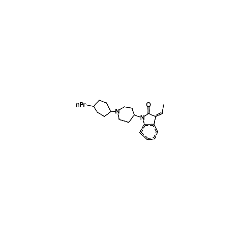 C/C=C1\C(=O)N(C2CCN(C3CCC(CCC)CC3)CC2)c2ccccc21